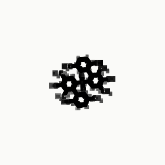 Cc1ccc(O)c(-c2c(S(=O)(=O)c3cc(C)c(O)c(C)c3-c3cc(C)ccc3O)cc(C)c(O)c2C)c1